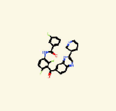 O=C(Nc1ccc(F)c(C(=O)c2ccc3ncc(-c4cccnc4)nc3c2)c1F)c1cccc(F)c1